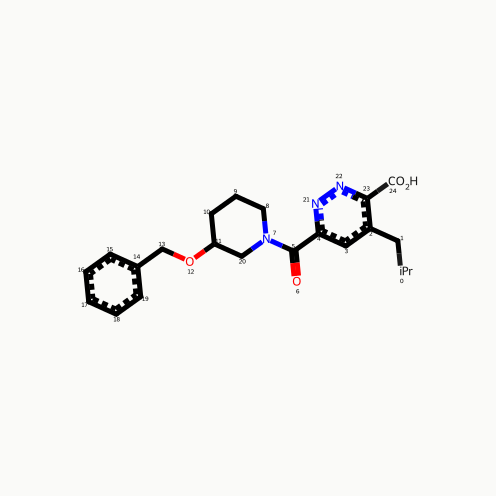 CC(C)Cc1cc(C(=O)N2CCCC(OCc3ccccc3)C2)nnc1C(=O)O